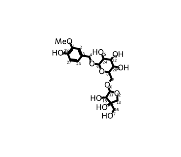 COc1cc(COC2OC(COC3OCC(O)(CO)C3O)C(O)C(O)C2O)ccc1O